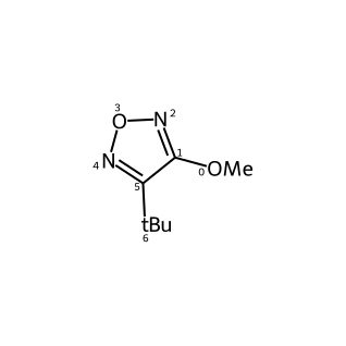 COc1nonc1C(C)(C)C